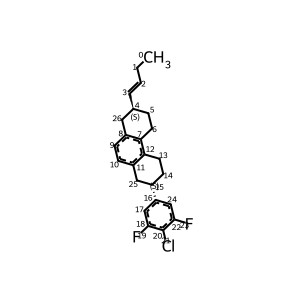 CCC=C[C@H]1CCc2c(ccc3c2CC[C@H](c2cc(F)c(Cl)c(F)c2)C3)C1